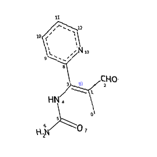 C/C([C]=O)=C(\NC(N)=O)c1ccccn1